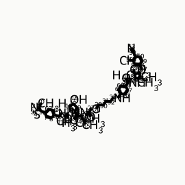 Cc1ncsc1-c1ccc([C@@H](C)NC(=O)[C@H]2C[C@H](O)CN2C(=O)[C@H](NC(=O)COCCCCCNc2ccc(C(=O)N[C@H]3C(C)(C)[C@H](Oc4ccc(C#N)c(Cl)c4)C3(C)C)cc2)C(C)(C)C)cc1